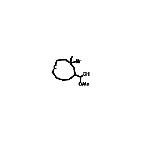 COC(O)C1CCCCCCCC(C)(Br)C1